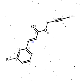 O=C(/C=C/c1cccc(Br)c1)OCC#CI